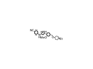 CCN1CCC(OCc2ccc(-c3cc(Nc4cnc(C#N)cn4)n[nH]3)c(OC)c2)CC1